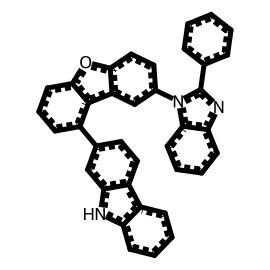 c1ccc(-c2nc3ccccc3n2-c2ccc3oc4cccc(-c5ccc6c(c5)[nH]c5ccccc56)c4c3c2)cc1